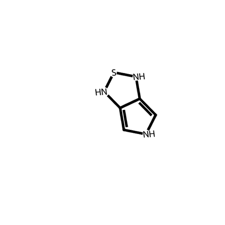 c1[nH]cc2c1NSN2